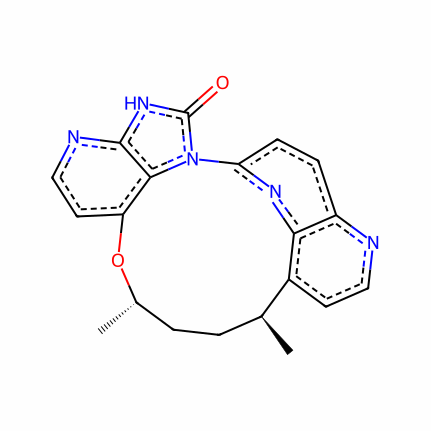 C[C@H]1CC[C@H](C)c2ccnc3ccc(nc23)-n2c(=O)[nH]c3nccc(c32)O1